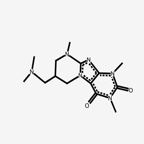 CN(C)CC1CN(C)c2nc3c(c(=O)n(C)c(=O)n3C)n2C1